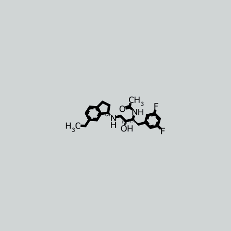 CCc1ccc2c(c1)[C@@H](NC[C@H](O)[C@H](Cc1cc(F)cc(F)c1)NC(C)=O)CC2